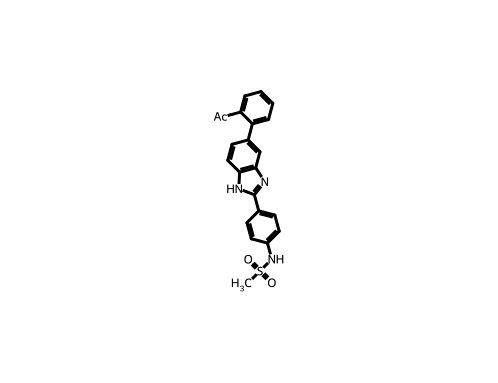 CC(=O)c1ccccc1-c1ccc2[nH]c(-c3ccc(NS(C)(=O)=O)cc3)nc2c1